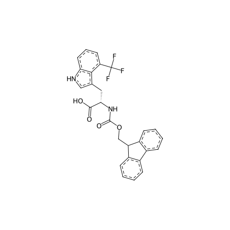 O=C(N[C@@H](Cc1c[nH]c2cccc(C(F)(F)F)c12)C(=O)O)OCC1c2ccccc2-c2ccccc21